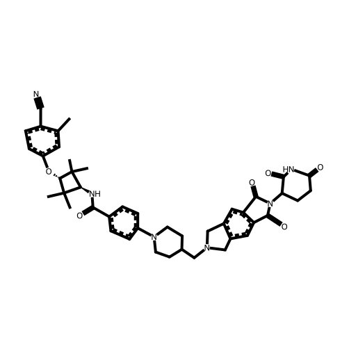 Cc1cc(O[C@H]2C(C)(C)[C@H](NC(=O)c3ccc(N4CCC(CN5Cc6cc7c(cc6C5)C(=O)N(C5CCC(=O)NC5=O)C7=O)CC4)cc3)C2(C)C)ccc1C#N